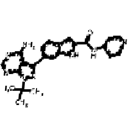 CC(C)(C)n1nc(-c2ccc3cc(C(=O)Nc4ccncc4)[nH]c3c2)c2c(N)ncnc21